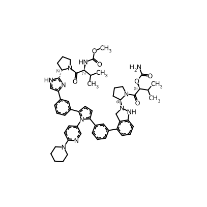 COC(=O)N[C@H](C(=O)N1CCC[C@H]1c1nc(-c2cccc(-c3ccc(-c4cccc(-c5cccc6c5CN([C@H]5CCCN5C(=O)[C@@H](OC(N)=O)C(C)C)N6)c4)n3-c3ccc(N4CCCCC4)nc3)c2)c[nH]1)C(C)C